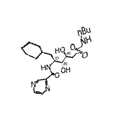 CCCCNS(=O)(=O)C[C@H](O)[C@H](O)[C@H](CC1CCCCC1)NC(=O)c1cnccn1